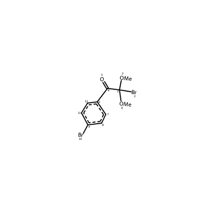 COC(Br)(OC)C(=O)c1ccc(Br)cc1